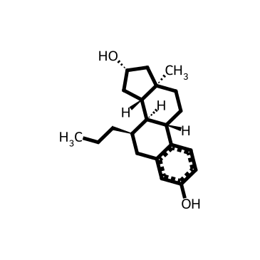 CCC[C@@H]1Cc2cc(O)ccc2[C@H]2CC[C@]3(C)C[C@@H](O)C[C@H]3[C@H]12